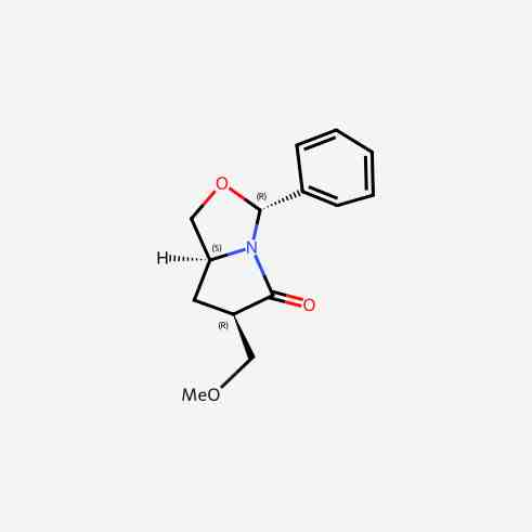 COC[C@H]1C[C@H]2CO[C@H](c3ccccc3)N2C1=O